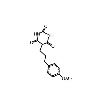 COc1ccc(CCCC2C(=O)NC(=O)NC2=O)cc1